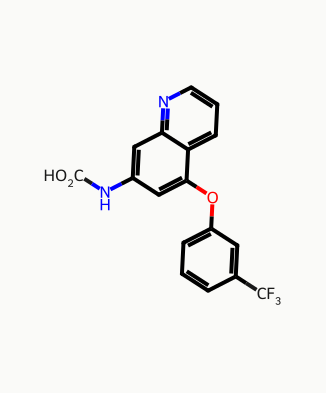 O=C(O)Nc1cc(Oc2cccc(C(F)(F)F)c2)c2cccnc2c1